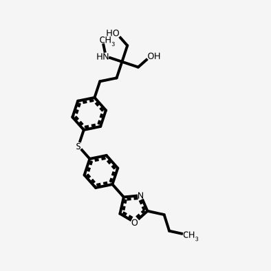 CCCc1nc(-c2ccc(Sc3ccc(CCC(CO)(CO)NC)cc3)cc2)co1